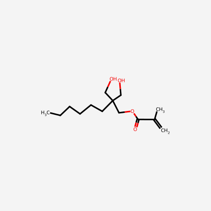 C=C(C)C(=O)OCC(CO)(CO)CCCCCC